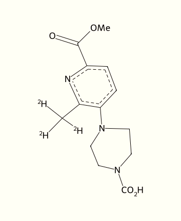 [2H]C([2H])([2H])c1nc(C(=O)OC)ccc1N1CCN(C(=O)O)CC1